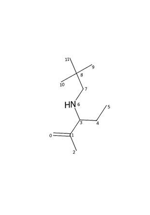 C=C(C)C(CC)NCC(C)(C)C